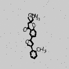 CCC1(CC)CC(=O)c2cc(C3=CC(c4ccccc4C)CO3)ccc2O1